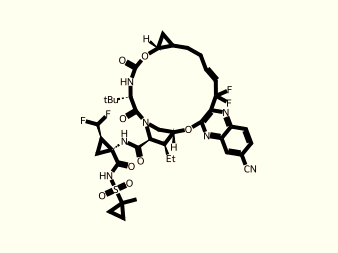 CC[C@@H]1[C@@H]2CN(C(=O)[C@H](C(C)(C)C)NC(=O)O[C@@H]3CC3CC/C=C/C(F)(F)c3nc4ccc(C#N)cc4nc3O2)[C@@H]1C(=O)N[C@]1(C(=O)NS(=O)(=O)C2(C)CC2)C[C@H]1C(F)F